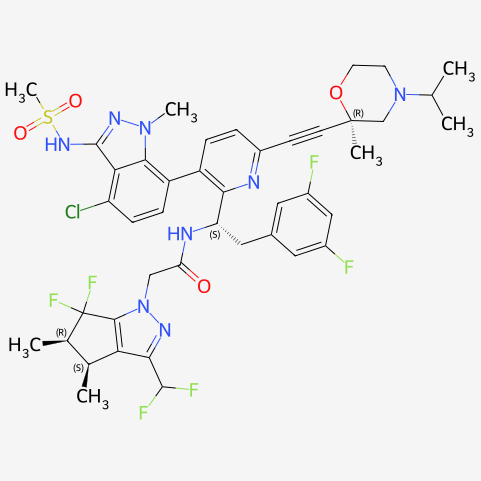 CC(C)N1CCO[C@](C)(C#Cc2ccc(-c3ccc(Cl)c4c(NS(C)(=O)=O)nn(C)c34)c([C@H](Cc3cc(F)cc(F)c3)NC(=O)Cn3nc(C(F)F)c4c3C(F)(F)[C@H](C)[C@@H]4C)n2)C1